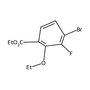 CCOC(=O)c1ccc(Br)c(F)c1OCC